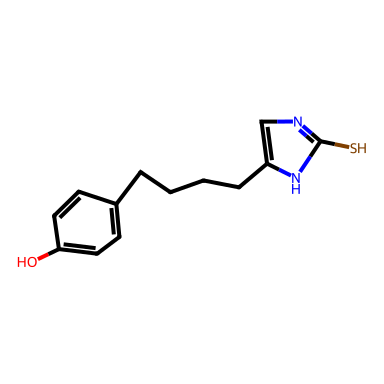 Oc1ccc(CCCCc2cnc(S)[nH]2)cc1